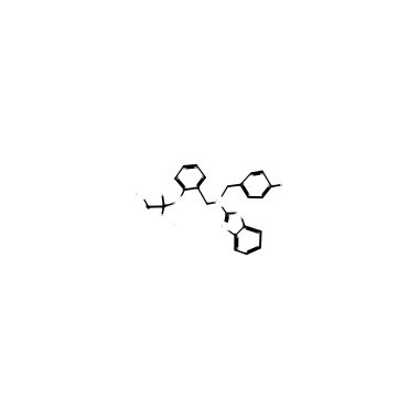 CC(C)(Oc1ccccc1CN(Cc1ccc(Cl)cc1)c1nc2ccccc2o1)C(=O)O